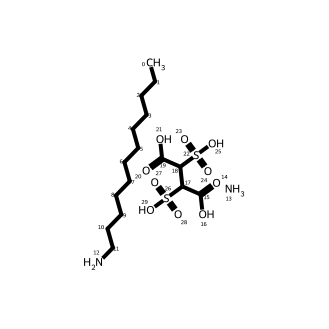 CCCCCCCCCCCCN.N.O=C(O)C(C(C(=O)O)S(=O)(=O)O)S(=O)(=O)O